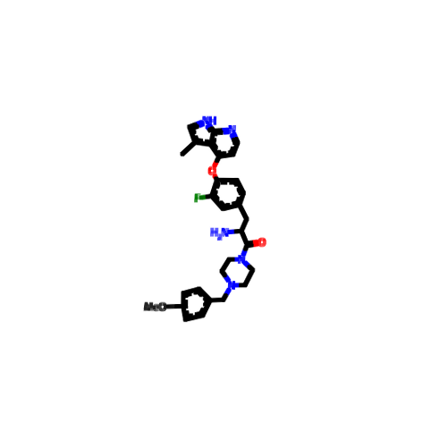 COc1ccc(CN2CCN(C(=O)C(N)Cc3ccc(Oc4ccnc5[nH]cc(C)c45)c(F)c3)CC2)cc1